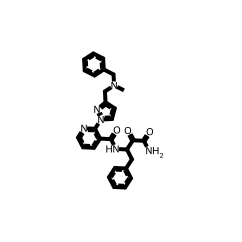 CN(Cc1ccccc1)Cc1ccn(-c2ncccc2C(=O)NC(Cc2ccccc2)C(=O)C(N)=O)n1